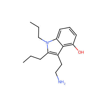 CCCc1c(CCN)c2c(O)cccc2n1CCC